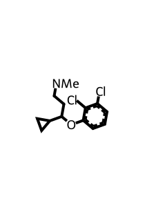 CNCCC(Oc1cccc(Cl)c1Cl)C1CC1